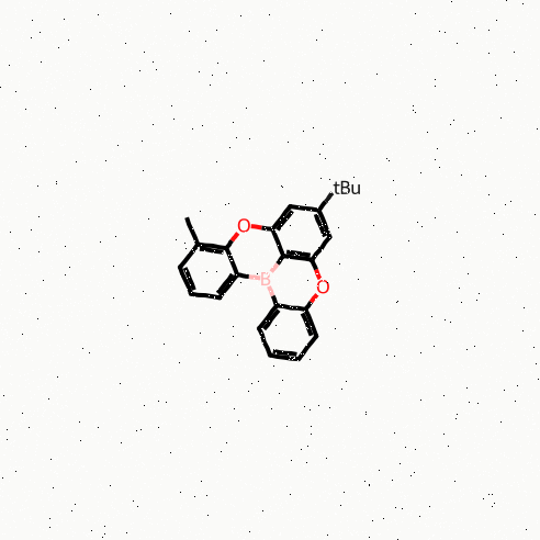 Cc1cccc2c1Oc1cc(C(C)(C)C)cc3c1B2c1ccccc1O3